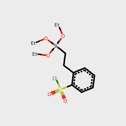 CCO[Si](CCc1ccccc1S(=O)(=O)Cl)(OCC)OCC